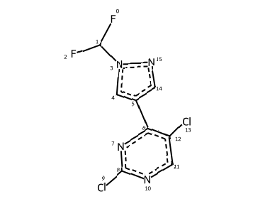 FC(F)n1cc(-c2nc(Cl)ncc2Cl)cn1